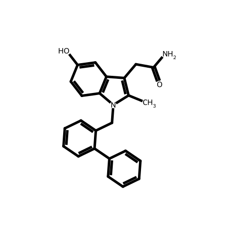 Cc1c(CC(N)=O)c2cc(O)ccc2n1Cc1ccccc1-c1ccccc1